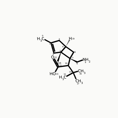 CC1=C[C@@H]2[C@@H](C1)C[C@]2(CN)C(C(=O)O)C(C)(C)C